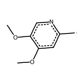 [CH2]c1cc(OC)c(OC)cn1